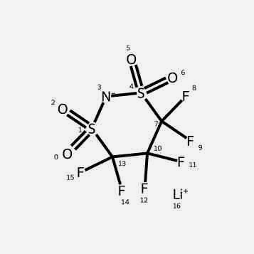 O=S1(=O)[N-]S(=O)(=O)C(F)(F)C(F)(F)C1(F)F.[Li+]